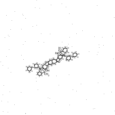 CC(C)(O)c1ccccc1N(c1cccc(-c2ccccc2)c1)c1ccc2c(c1)oc1cc3cc4c(cc3cc12)oc1cc(N(c2cccc(-c3ccccc3)c2)c2ccccc2C(C)(C)O)ccc14